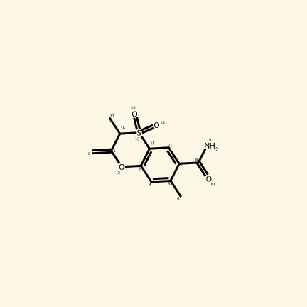 C=C1Oc2cc(C)c(C(N)=O)cc2S(=O)(=O)C1C